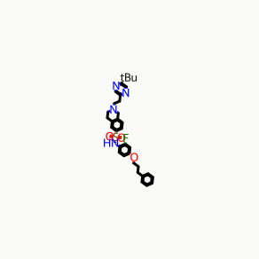 CC(C)(C)c1cnc(CCN2CCc3cc(S(=O)(=O)Nc4ccc(OCCCc5ccccc5)cc4F)ccc3C2)cn1